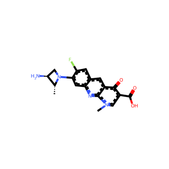 C[C@@H]1[C@@H](N)CN1c1cc2nc3c(cc2cc1F)c(=O)c(C(=O)O)cn3C